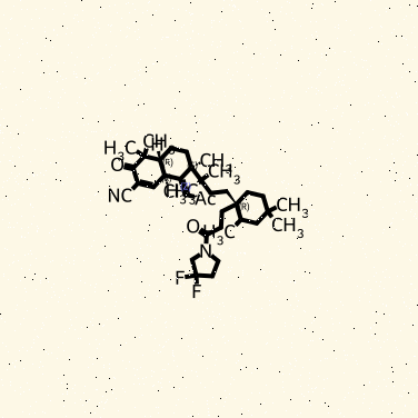 CC(=O)/C=C1/[C@@]2(C)C=C(C#N)C(=O)C(C)(C)[C@@H]2CC[C@@]1(C)C(C)(C)CC[C@@]1(CCC(=O)N2CCC(F)(F)C2)CCC(C)(C)CC1C